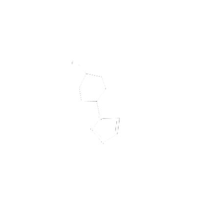 CC(C)C1CCC(n2ccnn2)CC1